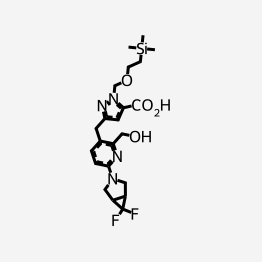 C[Si](C)(C)CCOCn1nc(Cc2ccc(N3CC4C(C3)C4(F)F)nc2CO)cc1C(=O)O